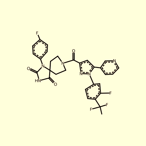 CC(F)(F)c1ccc(-n2nc(C(=O)N3CCC4(CC3)C(=O)NC(=O)N4c3ccc(F)cc3)cc2-c2cccnc2)cc1F